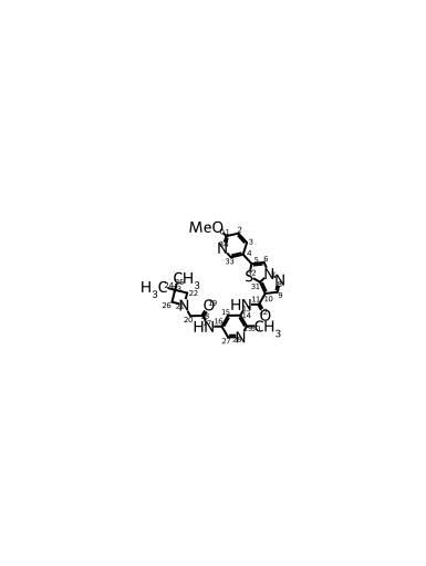 COc1ccc(-c2cn3ncc(C(=O)Nc4cc(NC(=O)CN5CC(C)(C)C5)cnc4C)c3s2)cn1